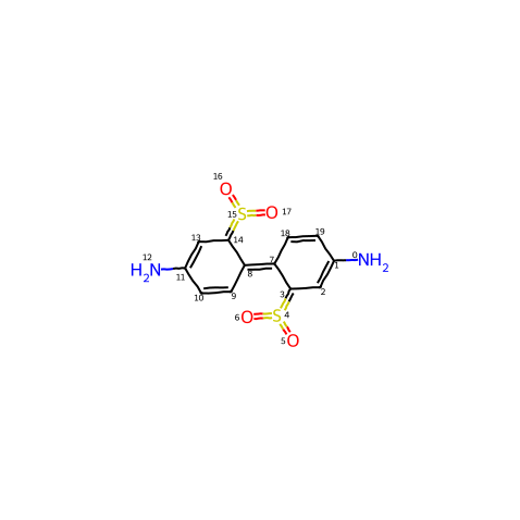 NC1=CC(=S(=O)=O)C(=C2C=CC(N)=CC2=S(=O)=O)C=C1